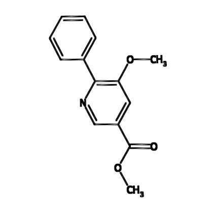 COC(=O)c1cnc(-c2ccccc2)c(OC)c1